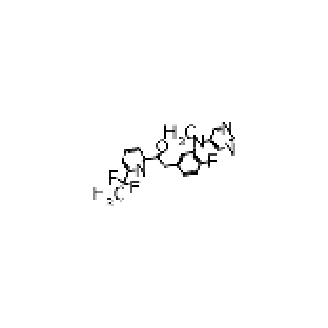 CN(c1cncnc1)c1cc(CC(=O)c2cccc(C(C)(F)F)n2)ccc1F